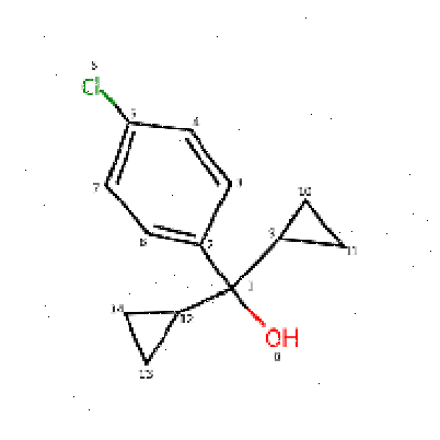 OC(c1ccc(Cl)cc1)(C1CC1)C1CC1